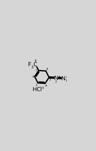 Cl.[N-]=[N+]=C1C=CC=C(C(F)(F)F)C1